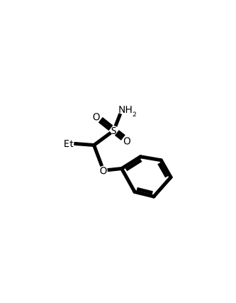 CCC(Oc1ccccc1)S(N)(=O)=O